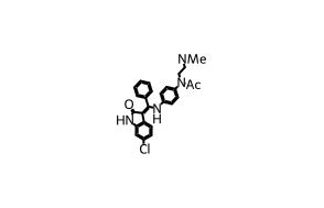 CNCCN(C(C)=O)c1ccc(NC(=C2C(=O)Nc3cc(Cl)ccc32)c2ccccc2)cc1